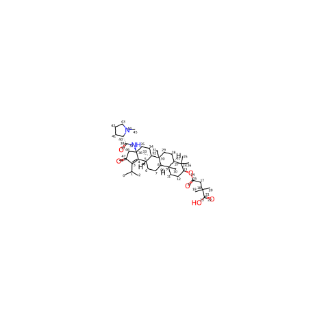 CC(C)C1=C2[C@H]3CC[C@@H]4[C@@]5(C)CC[C@H](OC(=O)CC(C)(C)C(=O)O)C(C)(C)[C@@H]5CC[C@@]4(C)[C@]3(C)CC[C@@]2(NC(=O)[C@@H]2CCCN2C)CC1=O